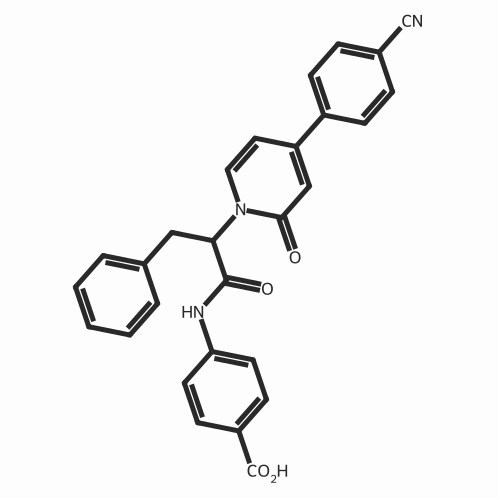 N#Cc1ccc(-c2ccn(C(Cc3ccccc3)C(=O)Nc3ccc(C(=O)O)cc3)c(=O)c2)cc1